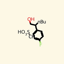 CCCCC(CO)c1ccc(F)cc1.CS(=O)(=O)O